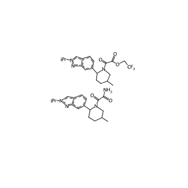 CC1CCC(c2ccc3cn(C(C)C)nc3c2)N(C(=O)C(=O)OCC(F)(F)F)C1.CC1CCC(c2ccc3cn(C(C)C)nc3c2)N(C(=O)C(N)=O)C1